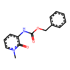 Cn1cccc(NC(=O)OCc2ccccc2)c1=O